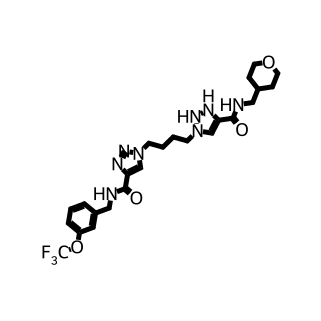 O=C(NCC1CCOCC1)C1=CN(CCCCn2cc(C(=O)NCc3cccc(OC(F)(F)F)c3)nn2)NN1